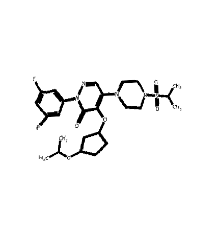 CC(C)OC1CCC(Oc2c(N3CCN(S(=O)(=O)C(C)C)CC3)cnn(-c3cc(F)cc(F)c3)c2=O)C1